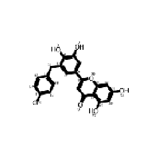 O=c1cc(-c2cc(O)c(O)c(Cc3ccc(Cl)cc3)c2)oc2cc(O)cc(O)c12